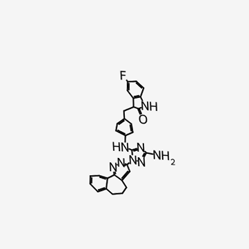 Nc1nc(Nc2ccc(CC3C(=O)Nc4ccc(F)cc43)cc2)n(-c2cc3c(nn2)-c2ccccc2CCC3)n1